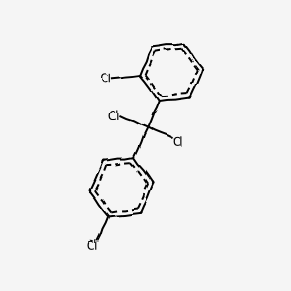 Clc1ccc(C(Cl)(Cl)c2ccccc2Cl)cc1